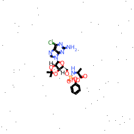 CC(NP(=O)(OC[C@H]1O[C@@H](n2cnc3c(Cl)nc(N)nc32)[C@@H]2OC(C)(C)O[C@@H]21)Oc1ccccc1)C(=O)O